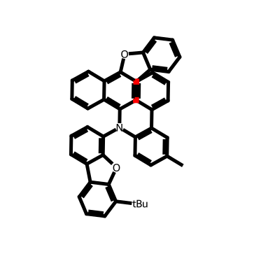 Cc1ccc(N(c2cc3c4ccccc4oc3c3ccccc23)c2cccc3c2oc2c(C(C)(C)C)cccc23)c(-c2ccccc2)c1